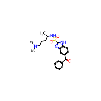 CCN(CC)CCCC(C)NS(=O)(=O)c1nc2cc(C(=O)c3ccccc3)ccc2[nH]1